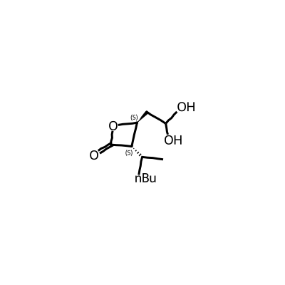 CCCCC(C)[C@@H]1C(=O)O[C@H]1CC(O)O